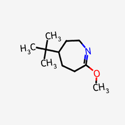 COC1=NCCC(C(C)(C)C)CC1